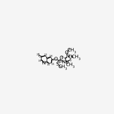 COCC(C)(C=NOC)NC(=O)C(Oc1ccc2ncc(I)cc2c1)SC